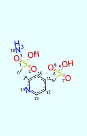 CS(=O)(=O)O.CS(=O)(=O)O.N.c1ccncc1